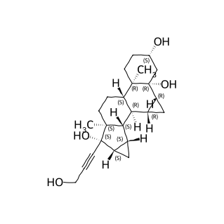 C[C@]12CC[C@H]3[C@@H]([C@H]4C[C@H]4[C@]4(O)C[C@@H](O)CC[C@]34C)[C@@H]1[C@@H]1C[C@@H]1[C@@]2(O)C#CCO